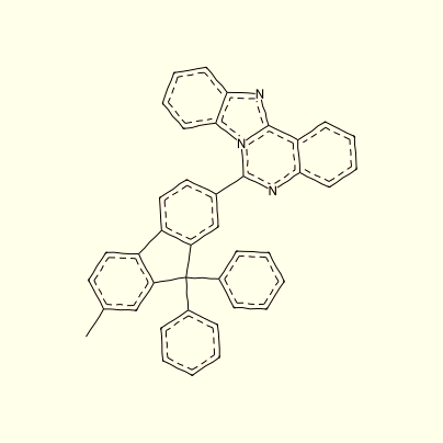 Cc1ccc2c(c1)C(c1ccccc1)(c1ccccc1)c1cc(-c3nc4ccccc4c4nc5ccccc5n34)ccc1-2